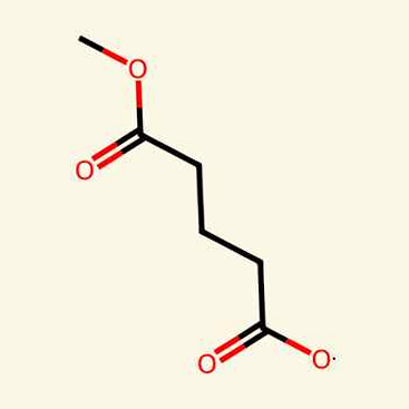 COC(=O)CCCC([O])=O